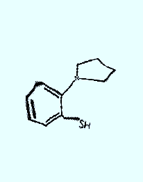 Sc1ccccc1N1CCCC1